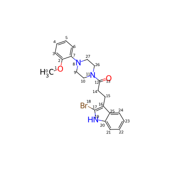 COc1ccccc1N1CCN(C(=O)CCc2c(Br)[nH]c3ccccc23)CC1